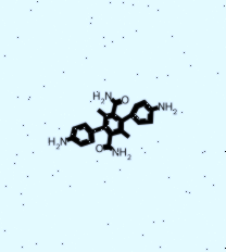 Cc1c(C(N)=O)c(-c2ccc(N)cc2)c(C)c(C(N)=O)c1-c1ccc(N)cc1